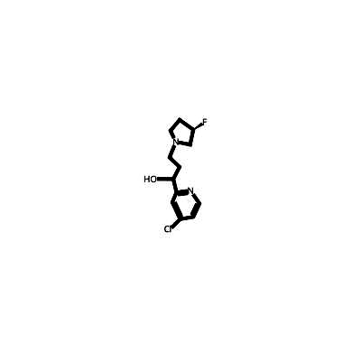 OC(CCN1CC[C@@H](F)C1)c1cc(Cl)ccn1